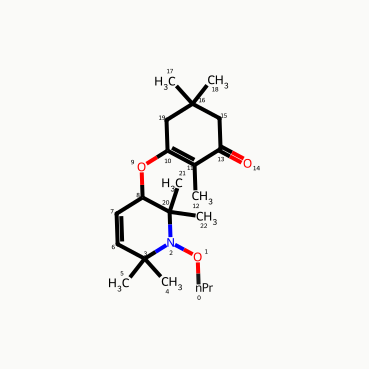 CCCON1C(C)(C)C=CC(OC2=C(C)C(=O)CC(C)(C)C2)C1(C)C